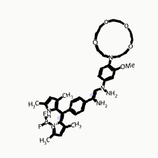 COc1cc(N(N)/C=C(\N)c2ccc(/C(=C3\C(C)=CC(C)=[N+]3B(F)F)c3[nH]c(C)cc3C)cc2)ccc1N1CCOCCOCCOCCOCC1